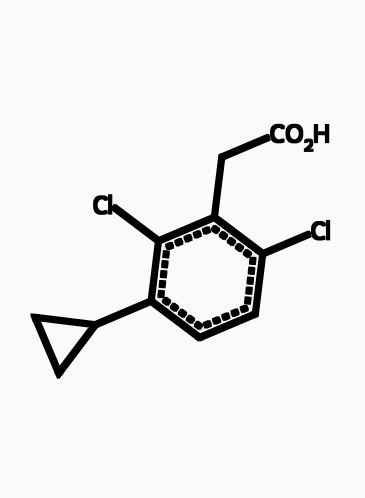 O=C(O)Cc1c(Cl)ccc(C2CC2)c1Cl